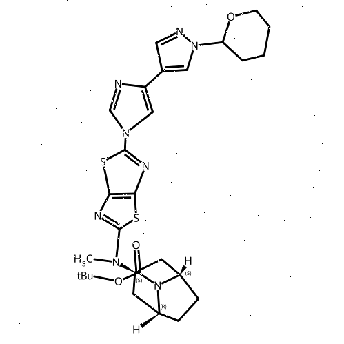 CN(c1nc2sc(-n3cnc(-c4cnn(C5CCCCO5)c4)c3)nc2s1)[C@@H]1C[C@H]2CC[C@@H](C1)N2C(=O)OC(C)(C)C